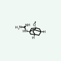 CO[C@]12C[C@@H]3C[C@H](C[C@](NC(=N)N)(C3)C1)C2